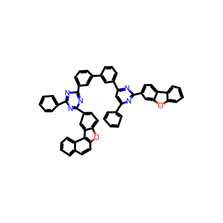 c1ccc(-c2cc(-c3cccc(-c4cccc(-c5nc(-c6ccccc6)nc(-c6ccc7oc8ccc9ccccc9c8c7c6)n5)c4)c3)nc(-c3ccc4c(c3)oc3ccccc34)n2)cc1